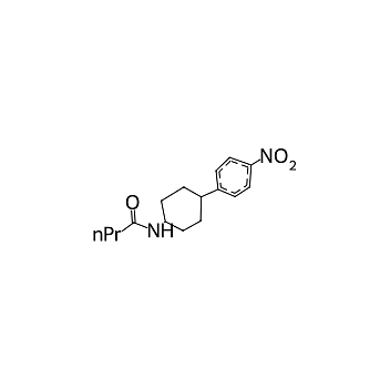 CCCC(=O)NC1CCC(c2ccc([N+](=O)[O-])cc2)CC1